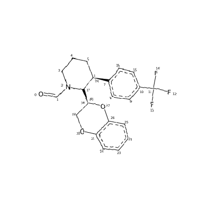 O=CN1CCC[C@@H](c2ccc(C(F)(F)F)cc2)C1[C@@H]1COc2ccccc2O1